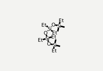 CC[Si](C)(C)O[Si](CC)(CC)O[Si](CC)(CC)O[Si](C)(C)CC